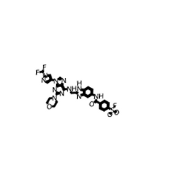 O=C(Nc1ccc2[nH]c(CNc3nc(N4CCOCC4)nc4c3ncn4-c3cnn(C(F)F)c3)nc2c1)c1ccc(S(=O)(=O)F)cc1